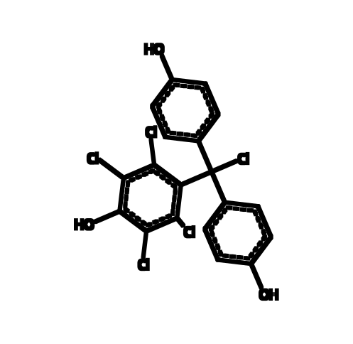 Oc1ccc(C(Cl)(c2ccc(O)cc2)c2c(Cl)c(Cl)c(O)c(Cl)c2Cl)cc1